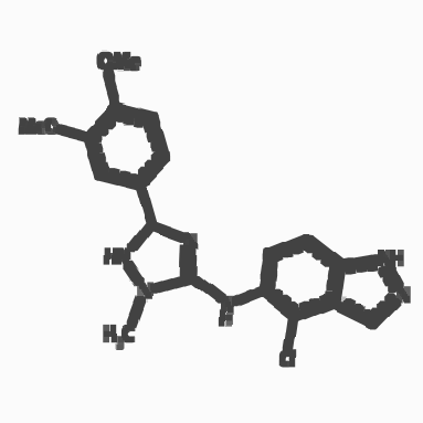 COc1ccc(C2N=C(Nc3ccc4[nH]ncc4c3Cl)N(C)N2)cc1OC